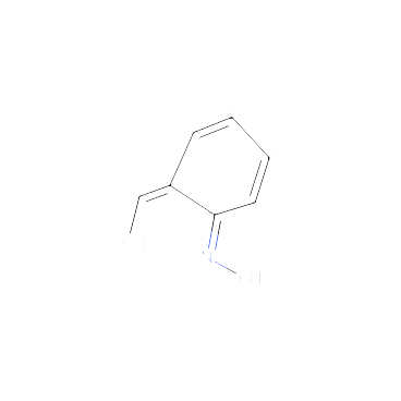 C/C=C1/C=CC=CC1=NC